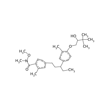 CCC(CCc1ccc(C(=O)N(C)OC)c(C)c1)c1ccc(OCC(O)C(C)(C)C)c(C)c1